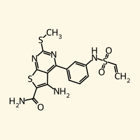 C=CS(=O)(=O)Nc1cccc(-c2nc(SC)nc3sc(C(N)=O)c(N)c23)c1